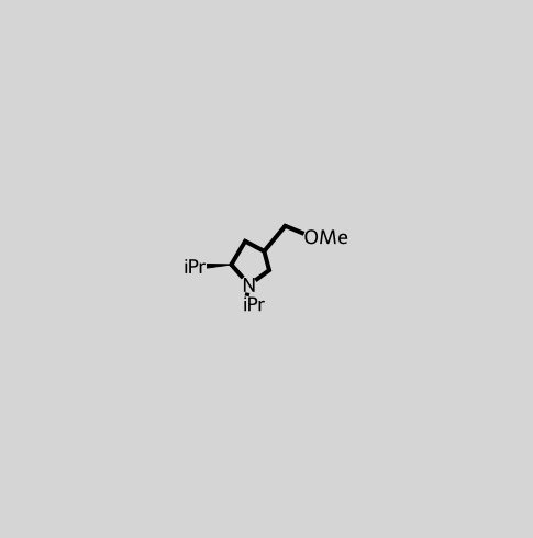 COCC1C[C@H](C(C)C)N(C(C)C)C1